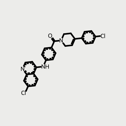 O=C(c1ccc(Nc2ccnc3cc(Cl)ccc23)cc1)N1CC=C(c2ccc(Cl)cc2)CC1